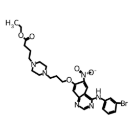 CCOC(=O)CCCN1CCN(CCCOc2cc3ncnc(Nc4cccc(Br)c4)c3cc2[N+](=O)[O-])CC1